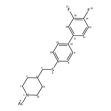 CC(=O)N1CCC(CSc2ccc(-c3ccc(F)c(F)c3)cc2)CC1